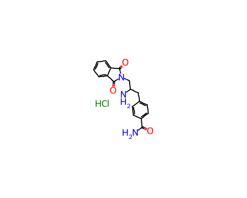 Cl.NC(=O)c1ccc(CC(N)CN2C(=O)c3ccccc3C2=O)cc1